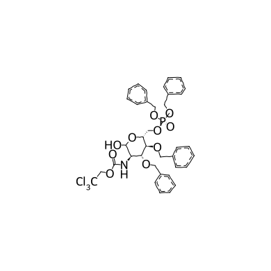 O=C(N[C@H]1C(O)O[C@H](COP(=O)(OCc2ccccc2)OCc2ccccc2)[C@@H](OCc2ccccc2)[C@@H]1OCc1ccccc1)OCC(Cl)(Cl)Cl